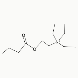 CCCC(=O)OCC[N+](CC)(CC)CC